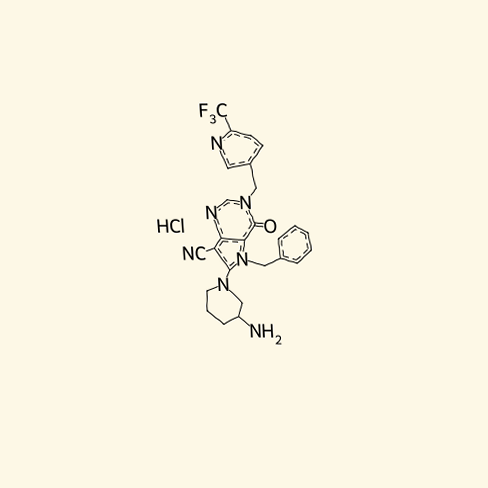 Cl.N#Cc1c(N2CCCC(N)C2)n(Cc2ccccc2)c2c(=O)n(Cc3ccc(C(F)(F)F)nc3)cnc12